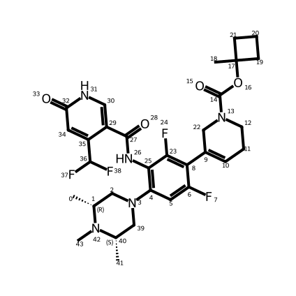 C[C@@H]1CN(c2cc(F)c(C3=CCCN(C(=O)OC4(C)CCC4)C3)c(F)c2NC(=O)c2c[nH]c(=O)cc2C(F)F)C[C@H](C)N1C